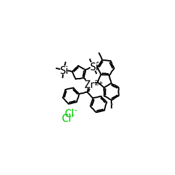 Cc1ccc2c(c1)[CH]([Zr+2]([C]1=C([Si](C)(C)C)C=C([Si](C)(C)C)C1)=[C](c1ccccc1)c1ccccc1)c1cc(C)ccc1-2.[Cl-].[Cl-]